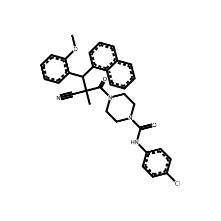 COc1ccccc1C(c1cccc2ccccc12)C(C)(C#N)C(=O)N1CCN(C(=O)Nc2ccc(Cl)cc2)CC1